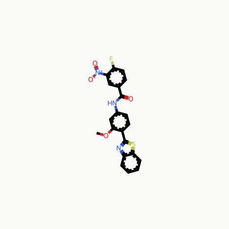 COc1cc(NC(=O)c2ccc(F)c([N+](=O)[O-])c2)ccc1-c1nc2ccccc2s1